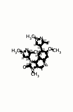 COc1cc2ncc3c(c2cc1-c1cn(C)nc1F)n(-c1cn(C)nc1C)c(=O)n3C